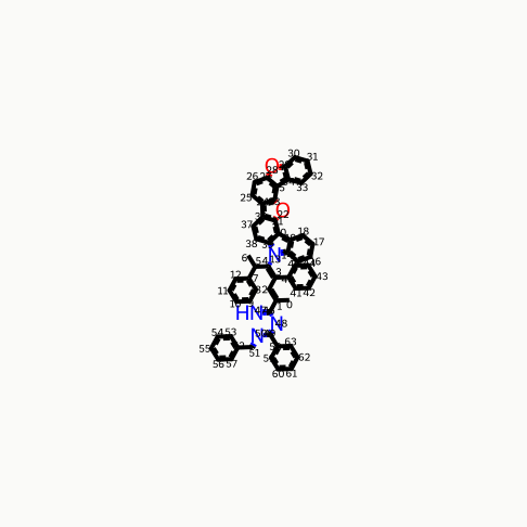 C/C(=C\C(=C(/C(C)c1ccccc1)n1c2ccccc2c2c3oc4c(ccc5oc6ccccc6c54)c3ccc21)c1ccccc1)C(=N)/N=C(\N=C\c1ccccc1)c1ccccc1